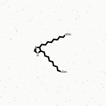 CCCCCCCCCCCCCCCCCCC1N=CNC1CCCCCCCCCCCCCCCCCC